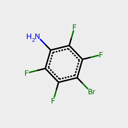 Nc1c(F)c(F)c(Br)c(F)c1F